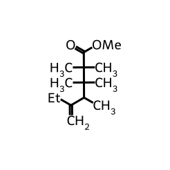 C=C(CC)C(C)C(C)(C)C(C)(C)C(=O)OC